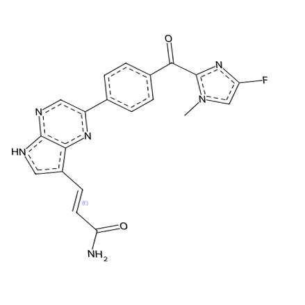 Cn1cc(F)nc1C(=O)c1ccc(-c2cnc3[nH]cc(/C=C/C(N)=O)c3n2)cc1